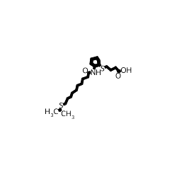 CC(C)SCCCCCCCCCC(=O)Nc1ccccc1SCCCC(=O)O